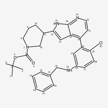 CC(C)(C)OC(=O)N1CCCC(c2cc3c(-c4cc(NCc5ccccc5)ccc4Cl)ccnc3[nH]2)C1